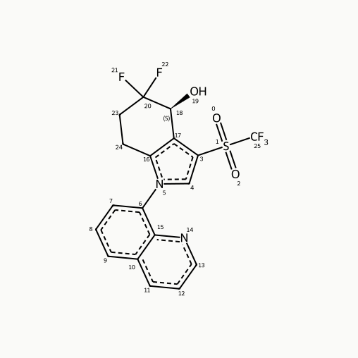 O=S(=O)(c1cn(-c2cccc3cccnc23)c2c1[C@H](O)C(F)(F)CC2)C(F)(F)F